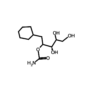 NC(=O)OC(CC1CCCCC1)[C@H](O)C(O)CO